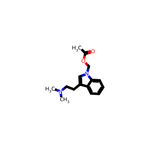 CC(=O)OCn1cc(CCN(C)C)c2ccccc21